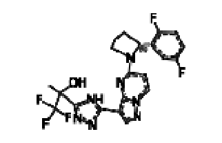 CC(O)(c1nnc(-c2cnn3ccc(N4CCC[C@@H]4c4cc(F)ccc4F)nc23)[nH]1)C(F)(F)F